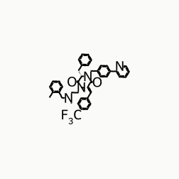 Cc1ccccc1CN(C)CCN(C)C(=O)[C@H](Cc1ccccc1)N(Cc1ccc(-c2ccccn2)cc1)C(=O)/C=C/c1ccc(C(F)(F)F)cc1